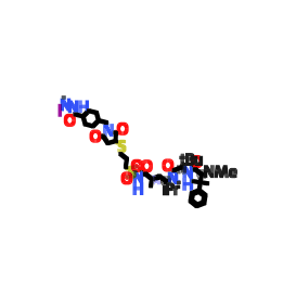 CN[C@H](C(=O)N[C@H](C(=O)N(C)[C@H](/C=C(\C)C(=O)NS(=O)(=O)CCCSC1CC(=O)N(CC2CCC(C(=O)NN(C)I)CC2)C1=O)C(C)C)C(C)(C)C)C(C)(C)c1ccccc1